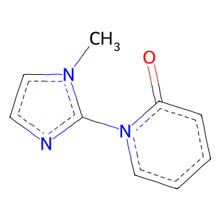 Cn1ccnc1-n1ccccc1=O